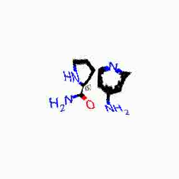 NC(=O)[C@@H]1CCCN1.Nc1ccncc1